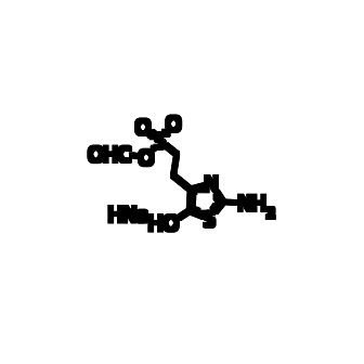 Nc1nc(CCS(=O)(=O)OC=O)c(O)s1.[NaH]